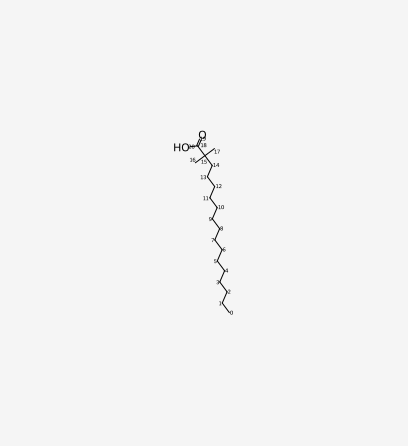 CCCCCCCCCCCCCCCC(C)(C)C(=O)O